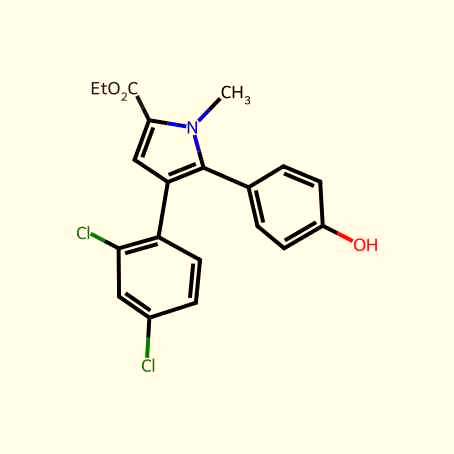 CCOC(=O)c1cc(-c2ccc(Cl)cc2Cl)c(-c2ccc(O)cc2)n1C